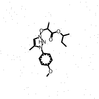 CCC(C)OC(=O)C(C)ON1C=C(C)N(c2ccc(OC)cc2)N1